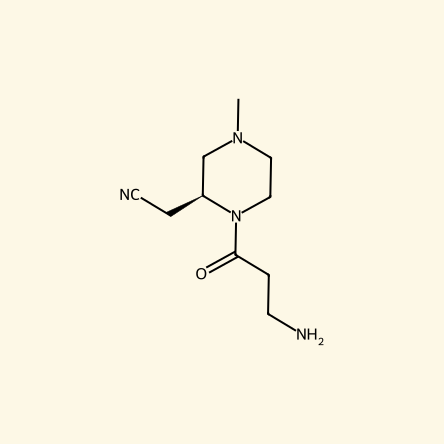 CN1CCN(C(=O)CCN)[C@@H](CC#N)C1